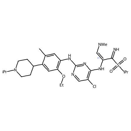 CCOc1cc(C2CCN(C(C)C)CC2)c(C)cc1Nc1ncc(Cl)c(N/C(=C/NC)C(=N)S(=O)(=O)C(C)C)n1